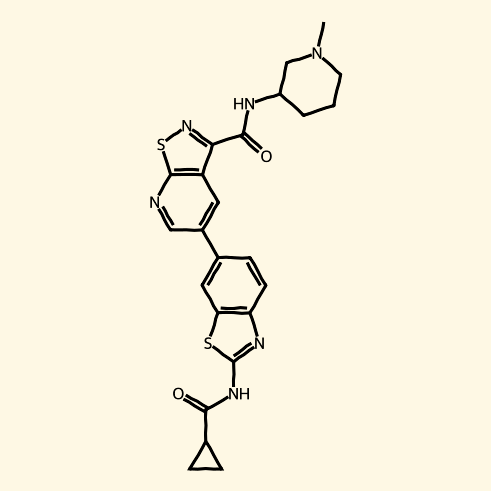 CN1CCCC(NC(=O)c2nsc3ncc(-c4ccc5nc(NC(=O)C6CC6)sc5c4)cc23)C1